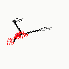 CCCCCCCCCCCCCCCCCCCCC(=O)OC[C@H](COP(=O)(O)OC[C@@H](O)CO)OC(=O)CCCCCCCCCCCCCCCCCCCC